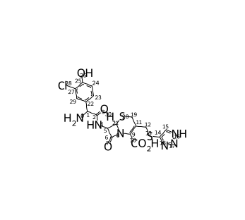 NC(C(=O)NC1C(=O)N2C(C(=O)O)=C(CSc3c[nH]nn3)CS[C@H]12)c1ccc(O)c(Cl)c1